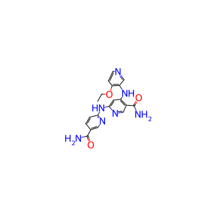 CCOc1ccncc1Nc1cc(Nc2ccc(C(N)=O)cn2)ncc1C(N)=O